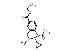 CCOC(=O)c1ccc2c(c1)C[C@@H](C)[C@H](C1CC1)N2C(C)=O